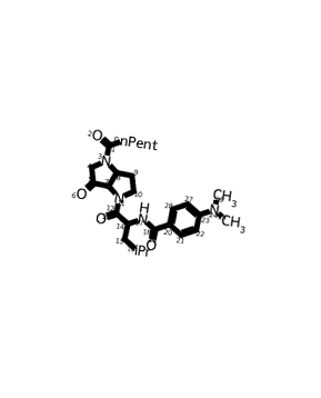 CCCCCC(=O)N1CC(=O)C2C1CCN2C(=O)C(CC(C)C)NC(=O)c1ccc(N(C)C)cc1